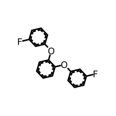 Fc1cccc(Oc2ccccc2Oc2cccc(F)c2)c1